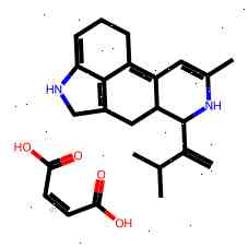 C=C(C(C)C)C1NC(C)=CC2=C3CCC=C4NCC(=C43)CC21.O=C(O)/C=C\C(=O)O